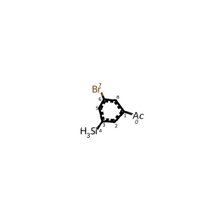 CC(=O)c1cc([SiH3])cc(Br)c1